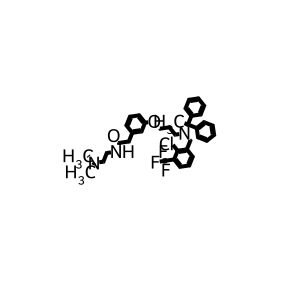 CN(C)CCNC(=O)Cc1cccc(OCCCN(Cc2cccc(C(F)(F)F)c2Cl)C(C)(c2ccccc2)c2ccccc2)c1